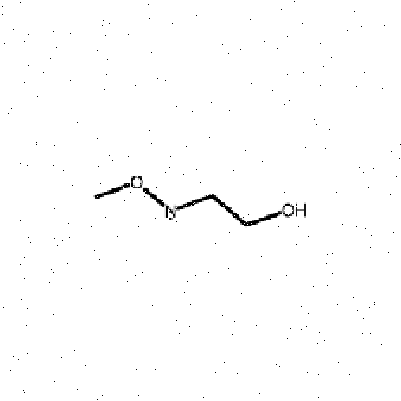 CO[N]CCO